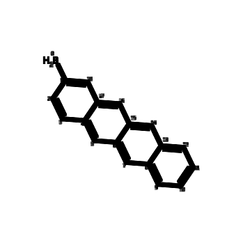 Bc1ccc2cc3cc4ccccc4cc3cc2c1